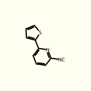 [C-]#[N+]c1cccc(-c2cccs2)n1